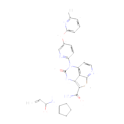 C=CC(O)N[C@H]1CCC[C@H]1NC(=O)c1sc2nccc3c2c1NC(=O)N3c1ccc(Oc2cccc(C)n2)cn1